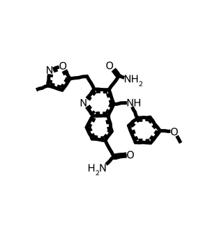 COc1cccc(Nc2c(C(N)=O)c(Cc3cc(C)no3)nc3ccc(C(N)=O)cc23)c1